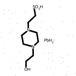 O=S(=O)(O)CCN1CCN(CCO)CC1.[PbH2]